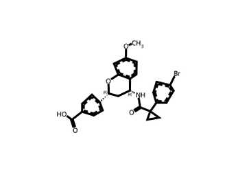 COc1ccc2c(c1)O[C@@H](c1ccc(C(=O)O)cc1)C[C@H]2NC(=O)C1(c2ccc(Br)cc2)CC1